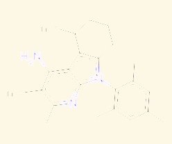 CCCc1c(C)nc2c(c1N)c1c(n2-c2c(C)cc(C)cc2C)CCCC1CCC